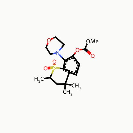 COC(=O)Oc1ccc2c(c1N1CCOCC1)S(=O)(=O)C(C)CC2(C)C